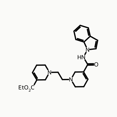 CCOC(=O)C1=CCCN(CCN2CCC=C(C(=O)Nn3ccc4ccccc43)C2)C1